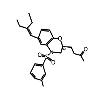 CCC(=Cc1ccc2c(c1)N(S(=O)(=O)c1cccc(C)c1)C[C@H](CCC(C)=O)O2)CC